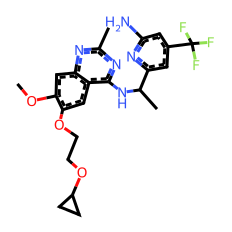 COc1cc2nc(C)nc(NC(C)c3cc(C(F)(F)F)cc(N)n3)c2cc1OCCOC1CC1